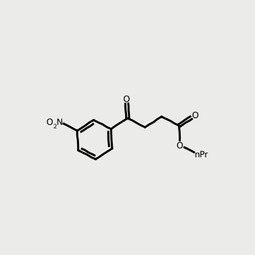 CCCOC(=O)CCC(=O)c1cccc([N+](=O)[O-])c1